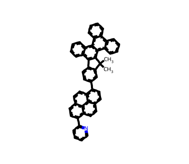 CC1(C)c2cc(-c3ccc4ccc5c(-c6ccccn6)ccc6ccc3c4c65)ccc2-c2c1c1c3ccccc3c3ccccc3c1c1ccccc21